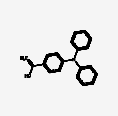 C=C(O)c1ccc(N(c2ccccc2)c2ccccc2)cc1